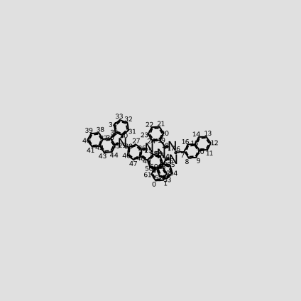 c1ccc(-c2nc(-c3ccc4ccccc4c3)nc(-c3ccccc3-n3c4cc(-n5c6ccccc6c6c7ccccc7ccc65)ccc4c4cc5ccccc5cc43)n2)cc1